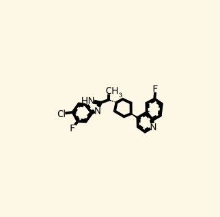 CC(c1nc2cc(F)c(Cl)cc2[nH]1)[C@H]1CC[C@H](c2ccnc3ccc(F)cc32)CC1